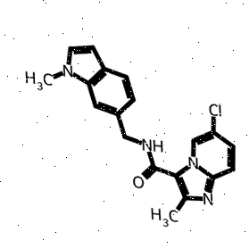 Cc1nc2ccc(Cl)cn2c1C(=O)NCc1ccc2ccn(C)c2c1